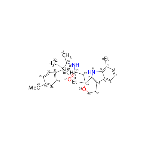 CCc1cccc2c3c([nH]c12)C(CC)(CC(=O)NC(C)[Si](C)(C)c1ccc(OC)cc1)OCC3